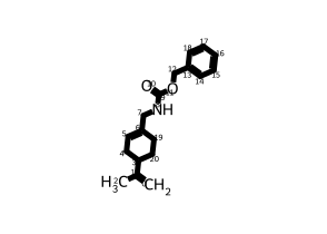 C=C(C)C1CC=C(CNC(=O)OCc2ccccc2)CC1